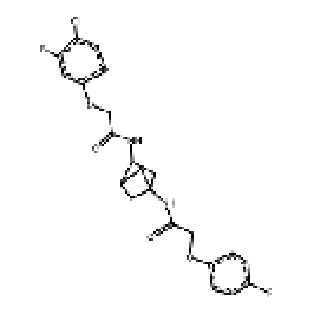 O=C(COc1ccc(Cl)c(F)c1)NC1CC2(NC(=O)COc3ccc(F)cc3)CC1C2